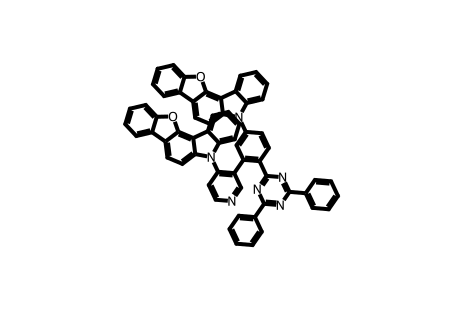 c1ccc(-c2nc(-c3ccccc3)nc(-c3ccc(-n4c5ccccc5c5c6oc7ccccc7c6ccc54)cc3-c3cnccc3-n3c4ccccc4c4c5oc6ccccc6c5ccc43)n2)cc1